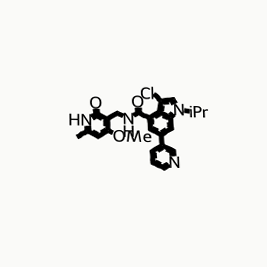 COc1cc(C)[nH]c(=O)c1CNC(=O)c1cc(-c2cccnc2)cc2c1c(Cl)cn2C(C)C